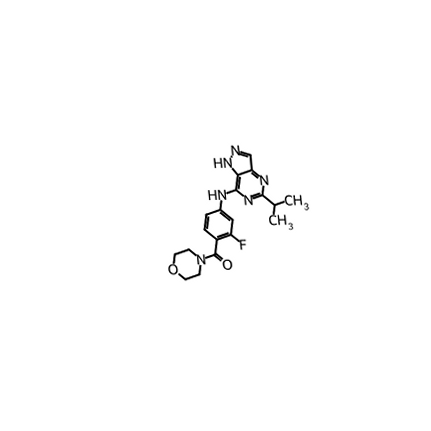 CC(C)c1nc(Nc2ccc(C(=O)N3CCOCC3)c(F)c2)c2[nH]ncc2n1